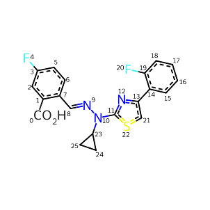 O=C(O)c1cc(F)ccc1C=NN(c1nc(-c2ccccc2F)cs1)C1CC1